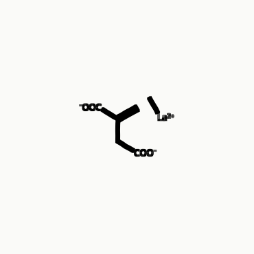 C=C(CC(=O)[O-])C(=O)[O-].[CH3][La+2]